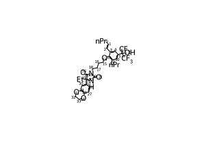 CCCC=Cc1cc(C(O)(C(F)(F)F)C(F)(F)F)cc(CCC)c1OCCCCN1C(=O)NC(CC)(c2ccc3c(c2)OCCO3)C1=O